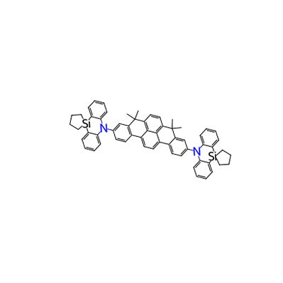 CC1(C)c2cc(N3c4ccccc4[Si]4(CCCC4)c4ccccc43)ccc2-c2ccc3c4c(ccc1c24)C(C)(C)c1cc(N2c4ccccc4[Si]4(CCCC4)c4ccccc42)ccc1-3